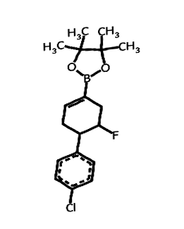 CC1(C)OB(C2=CCC(c3ccc(Cl)cc3)C(F)C2)OC1(C)C